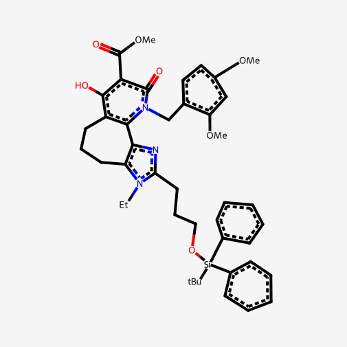 CCn1c(CCCO[Si](c2ccccc2)(c2ccccc2)C(C)(C)C)nc2c1CCCc1c(O)c(C(=O)OC)c(=O)n(Cc3ccc(OC)cc3OC)c1-2